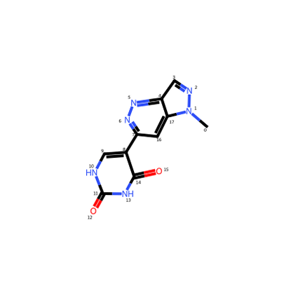 Cn1ncc2nnc(-c3c[nH]c(=O)[nH]c3=O)cc21